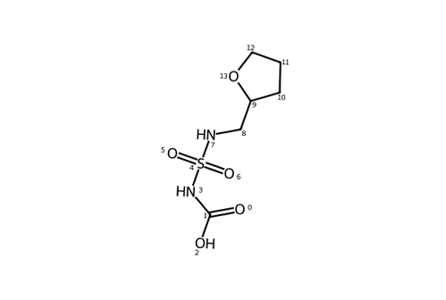 O=C(O)NS(=O)(=O)NCC1CCCO1